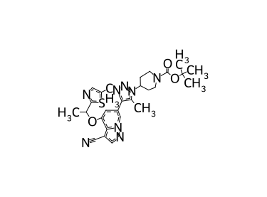 Cc1cnc(C(C)Oc2cc(-c3nnn(C4CCN(C(=O)OC(C)(C)C)CC4)c3C)cn3ncc(C#N)c23)s1